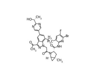 CC(=O)c1nn(CC(=O)N2[C@H](C(=O)Nc3nc(Br)c(F)cc3C)C[C@@]3(C)C[C@@H]23)c2c(C)cc(-c3cnc([C@@H](C)O)nc3)cc12